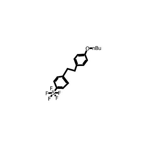 CCCCOc1ccc(CCc2ccc(S(F)(F)(F)(F)F)cc2)cc1